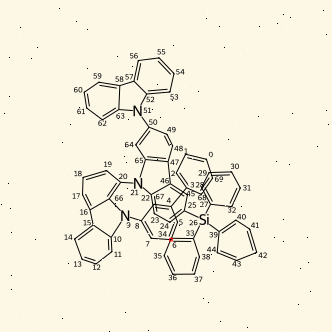 c1ccc(-c2cccc(-n3c4ccccc4c4cccc(-n5c6ccc([Si](c7ccccc7)(c7ccccc7)c7ccccc7)cc6c6ccc(-n7c8ccccc8c8ccccc87)cc65)c43)c2)cc1